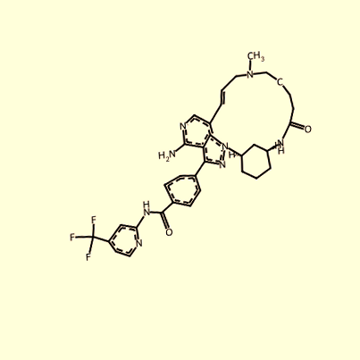 CN1C/C=C/c2cnc(N)c3c(-c4ccc(C(=O)Nc5cc(C(F)(F)F)ccn5)cc4)nn(c23)[C@@H]2CCC[C@H](C2)NC(=O)CCCC1